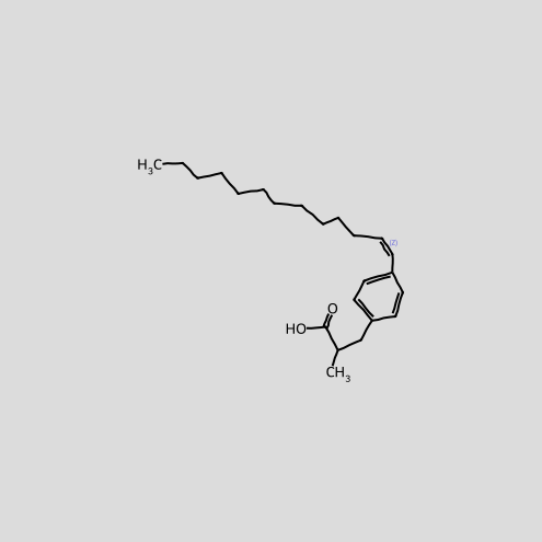 CCCCCCCCCCC/C=C\c1ccc(CC(C)C(=O)O)cc1